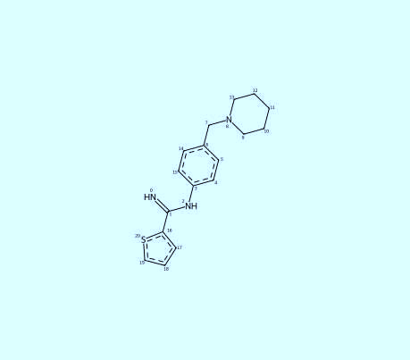 N=C(Nc1ccc(CN2CCCCC2)cc1)c1cccs1